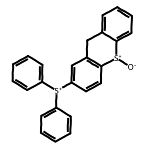 [O-][S+]1c2ccccc2Cc2cc([S+](c3ccccc3)c3ccccc3)ccc21